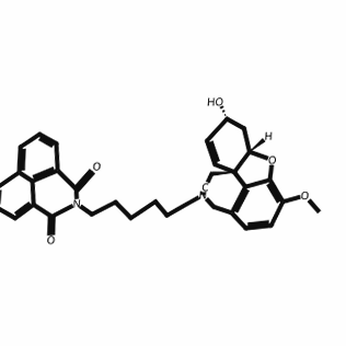 COc1ccc2c3c1O[C@H]1C[C@@H](O)C=C[C@@]31CCN(CCCCCN1C(=O)c3cccc4cccc(c34)C1=O)C2